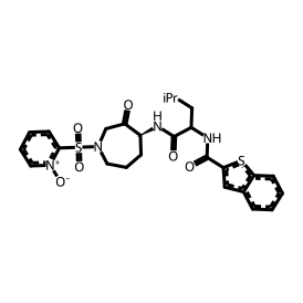 CC(C)CC(NC(=O)c1cc2ccccc2s1)C(=O)N[C@H]1CCCN(S(=O)(=O)c2cccc[n+]2[O-])CC1=O